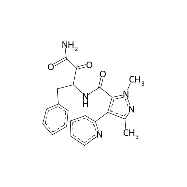 Cc1nn(C)c(C(=O)NC(Cc2ccccc2)C(=O)C(N)=O)c1-c1ccccn1